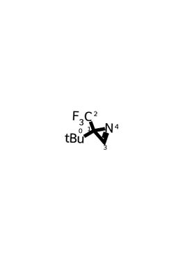 CC(C)(C)C1(C(F)(F)F)C=N1